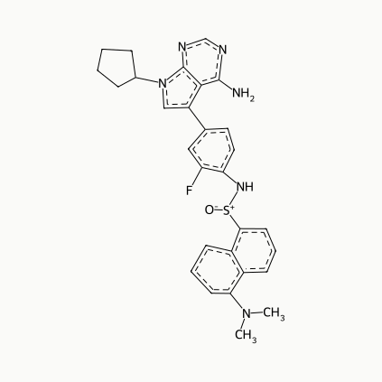 CN(C)c1cccc2c([S+]([O-])Nc3ccc(-c4cn(C5CCCC5)c5ncnc(N)c45)cc3F)cccc12